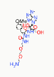 COc1ccc(C[C@H](NC(=O)NCCOCCOCCN)C(=O)N[C@H]2[C@@H](O)[C@H](n3cnc4c(N(C)C)ncnc43)O[C@@H]2CO)cc1